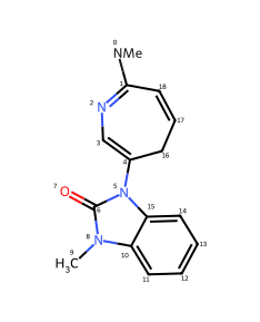 CNC1=NC=C(n2c(=O)n(C)c3ccccc32)CC=C1